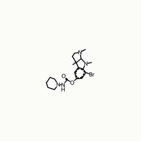 CN1CC[C@@]2(C)c3cc(OC(=O)NN4CCCCC4)cc(Br)c3N(C)C12